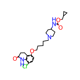 O=C1CCc2c(OCCCCCN3CCC(NC(=O)OCC4CC4)CC3)ccc(Cl)c2N1